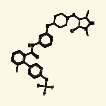 Cc1cccc(C(=O)Nc2cccc(OC3CCN(SC4C(C)NN(C)C4Cl)CC3)c2)c1-c1ccc(OC(F)(F)F)cc1